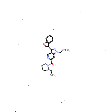 CCCn1nc(-c2coc3ccccc23)c2cnc(C(=O)N3CCCCC3CC)cc21